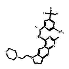 Cc1nc(N[C@H](C)c2cc(N)cc(C(F)(F)F)c2)c2cc3c(cc2n1)CCN3CCN1CCOCC1